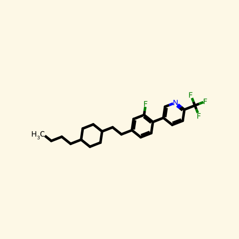 CCCCC1CCC(CCc2ccc(-c3ccc(C(F)(F)F)nc3)c(F)c2)CC1